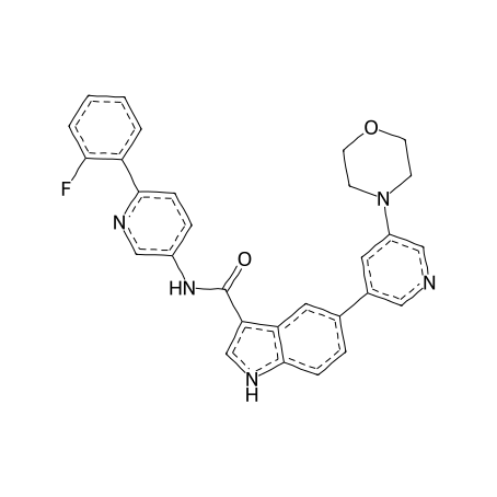 O=C(Nc1ccc(-c2ccccc2F)nc1)c1c[nH]c2ccc(-c3cncc(N4CCOCC4)c3)cc12